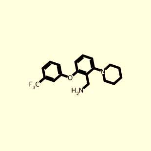 NCc1c(Oc2cccc(C(F)(F)F)c2)cccc1N1CCCCC1